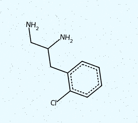 NCC(N)Cc1ccccc1Cl